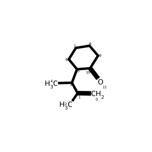 C=C(C)C(C)C1CCCCC1=O